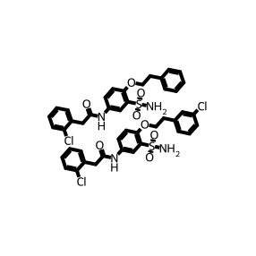 NS(=O)(=O)c1cc(NC(=O)Cc2ccccc2Cl)ccc1OCCc1cccc(Cl)c1.NS(=O)(=O)c1cc(NC(=O)Cc2ccccc2Cl)ccc1OCCc1ccccc1